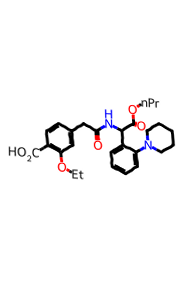 CCCOC(=O)C(NC(=O)Cc1ccc(C(=O)O)c(OCC)c1)c1ccccc1N1CCCCC1